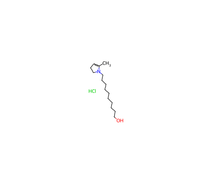 CC1=CCCN1CCCCCCCCCCO.Cl